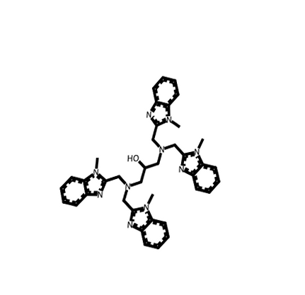 Cn1c(CN(Cc2nc3ccccc3n2C)CC(O)CN(Cc2nc3ccccc3n2C)Cc2nc3ccccc3n2C)nc2ccccc21